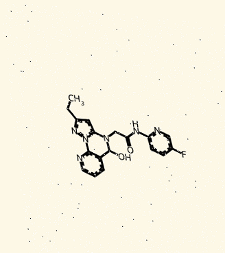 CCc1cc2n(n1)-c1ncccc1C(O)N2CC(=O)Nc1ccc(F)cn1